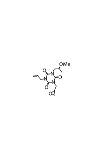 C=CCn1c(=O)n(CC(C)OC)c(=O)n(CC2CO2)c1=O